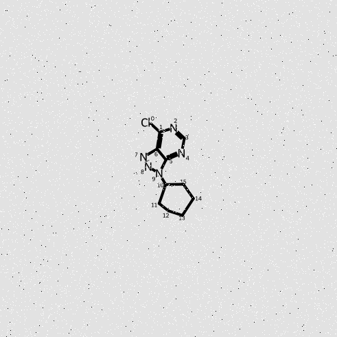 Clc1ncnc2c1nnn2C1CCCCC1